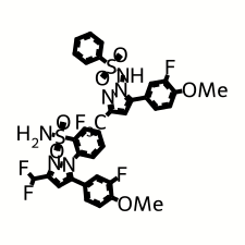 COc1ccc(-c2cc(C(F)(F)F)nn2NS(=O)(=O)c2ccccc2)cc1F.COc1ccc(-c2cc(C(F)F)nn2-c2ccccc2S(N)(=O)=O)cc1F